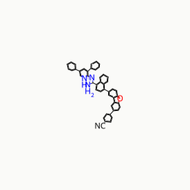 N#Cc1ccc(-c2ccc3oc4ccc(-c5ccc(C(N)/N=c6\[nH]cc(-c7ccccc7)cc6-c6ccccc6)c6ccccc56)cc4c3c2)cc1